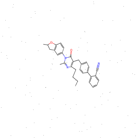 CCCCc1nc(C)n(-c2ccc3c(c2)CC(C)O3)c(=O)c1Cc1ccc(-c2ccccc2C#N)cc1